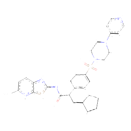 COc1ccc2nc(NC(=O)C(CC3CCCC3)C3=CC=C(S(=O)(=O)N4CCN(c5ccncc5)CC4)CC3)sc2n1